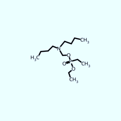 CCCCN(CCCC)COP(=O)(CC)OCC